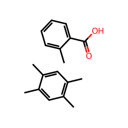 Cc1cc(C)c(C)cc1C.Cc1ccccc1C(=O)O